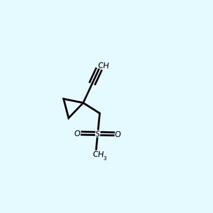 C#CC1(CS(C)(=O)=O)CC1